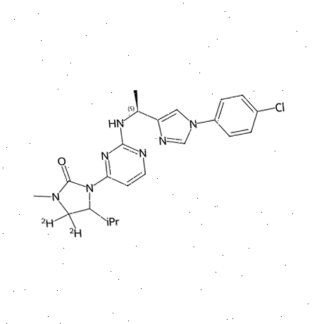 [2H]C1([2H])C(C(C)C)N(c2ccnc(N[C@@H](C)c3cn(-c4ccc(Cl)cc4)cn3)n2)C(=O)N1C